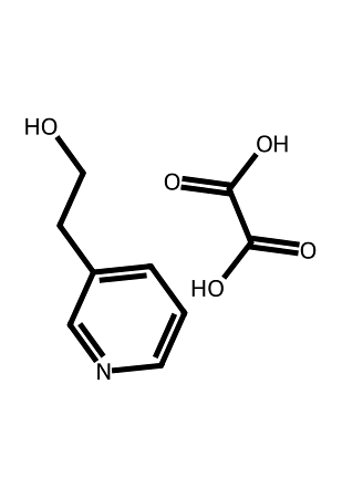 O=C(O)C(=O)O.OCCc1cccnc1